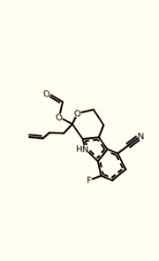 C=CCCC1(OC=O)OCCc2c1[nH]c1c(F)ccc(C#N)c21